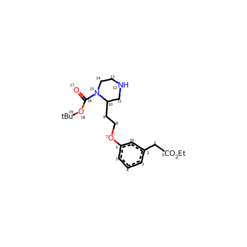 CCOC(=O)Cc1cccc(OCCC2CNCCN2C(=O)OC(C)(C)C)c1